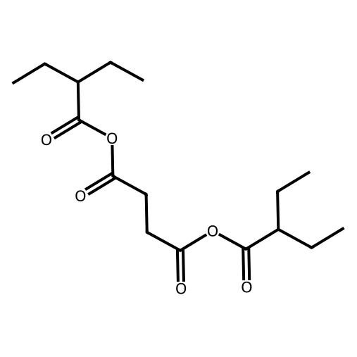 CCC(CC)C(=O)OC(=O)CCC(=O)OC(=O)C(CC)CC